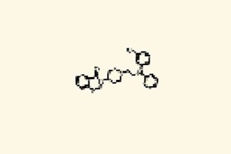 O=c1c2ccccc2ncn1C1CCN(CCN(c2ccccc2)c2cccc(Cl)c2)CC1